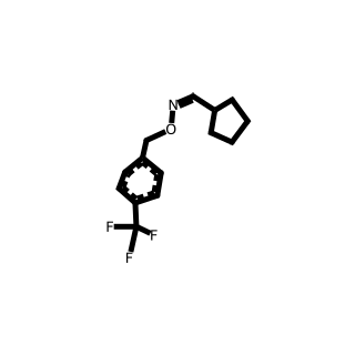 FC(F)(F)c1ccc(CO/N=[C]\C2CCCC2)cc1